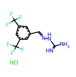 Cl.N=C(N)NN=Cc1cc(C(F)(F)F)cc(C(F)(F)F)c1